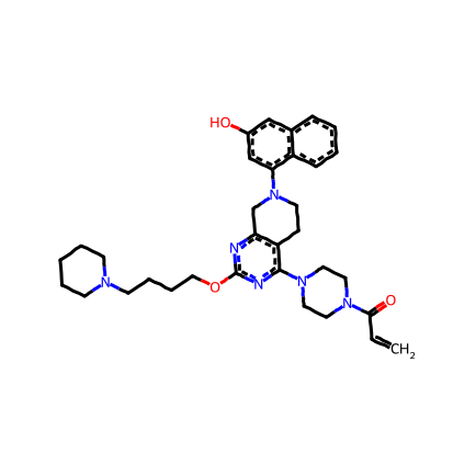 C=CC(=O)N1CCN(c2nc(OCCCCN3CCCCC3)nc3c2CCN(c2cc(O)cc4ccccc24)C3)CC1